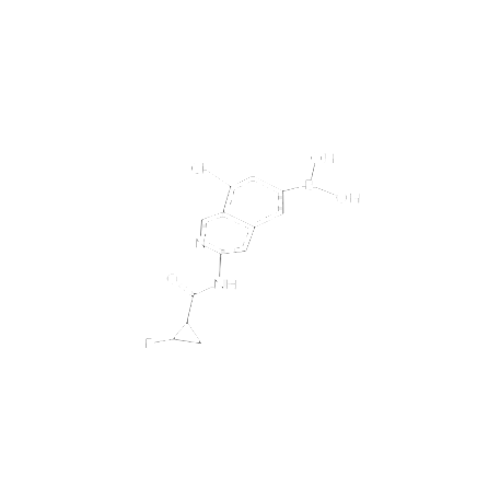 O=C(Nc1cc2cc(B(O)O)cc(Cl)c2cn1)C1CC1F